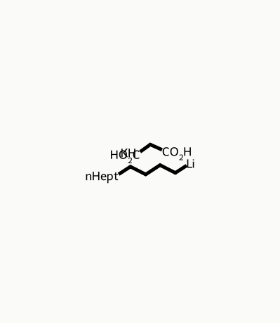 O=C(O)CC(=O)O.[KH].[Li][CH2]CCCCCCCCCC